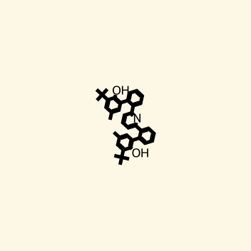 Cc1cc(-c2ccccc2-c2cccc(-c3ccccc3-c3cc(C)cc(C(C)(C)C)c3O)n2)c(O)c(C(C)(C)C)c1